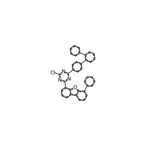 Clc1nc(-c2ccc(-c3ccccc3-c3ccccc3)cc2)nc(-c2cccc3c2oc2c(-c4ccccc4)cccc23)n1